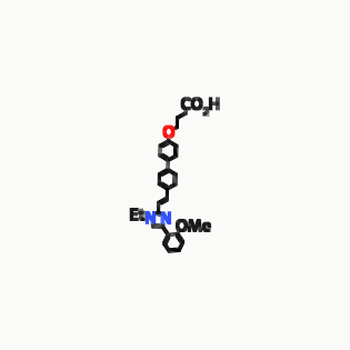 CCn1cc(-c2ccccc2OC)nc1C=Cc1ccc(-c2ccc(OCCCC(=O)O)cc2)cc1